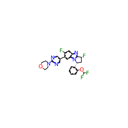 Fc1cc2nc3n(c2cc1-c1cnc(N2CCOCC2)nc1)[C@@H](c1ccccc1OC(F)F)C[C@H]3F